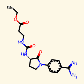 CC(C)(C)COC(=O)CCNC(=O)N[C@H]1CCN(c2ccc(C(=N)N)cc2)C1=O